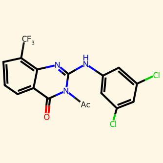 CC(=O)n1c(Nc2cc(Cl)cc(Cl)c2)nc2c(C(F)(F)F)cccc2c1=O